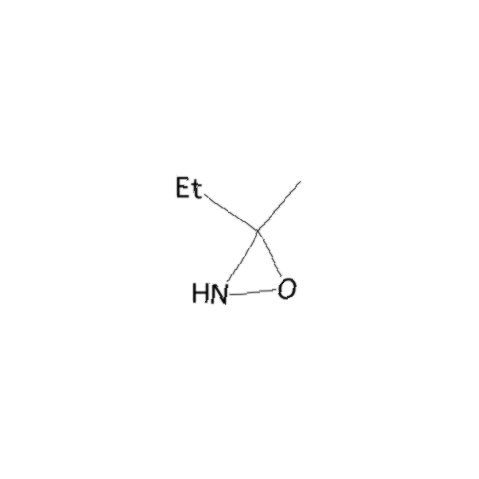 CCC1(C)NO1